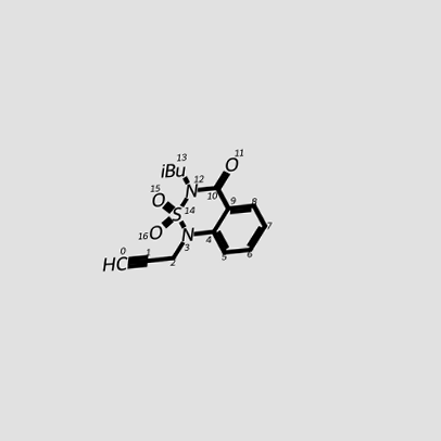 C#CCN1c2ccccc2C(=O)N(C(C)CC)S1(=O)=O